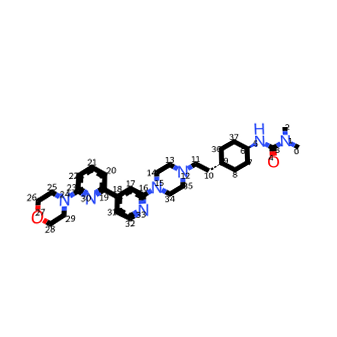 CN(C)C(=O)N[C@H]1CC[C@H](CCN2CCN(c3cc(-c4cccc(N5CCOCC5)n4)ccn3)CC2)CC1